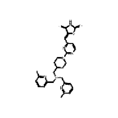 Cc1cccc(CN(Cc2cccc(C)n2)CC2CCN(c3nccc(/C=C4\SC(=O)NC4=O)n3)CC2)n1